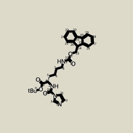 CC(C)(C)OC(=O)[C@H](CCCCNC(=O)OCC1c2ccccc2-c2ccccc21)NC(=O)n1ccnc1